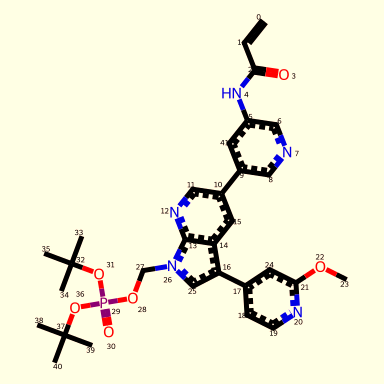 C=CC(=O)Nc1cncc(-c2cnc3c(c2)c(-c2ccnc(OC)c2)cn3COP(=O)(OC(C)(C)C)OC(C)(C)C)c1